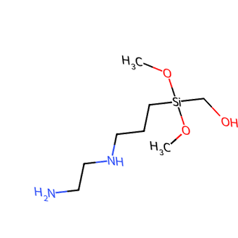 CO[Si](CO)(CCCNCCN)OC